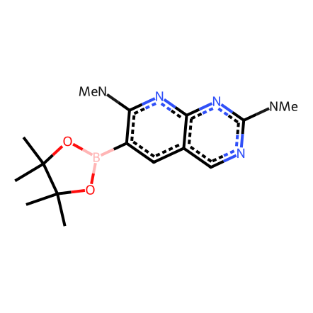 CNc1ncc2cc(B3OC(C)(C)C(C)(C)O3)c(NC)nc2n1